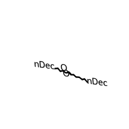 CCCCCCCCCCCCCCCCC=COC(=O)CCCCCCCCCCCCC